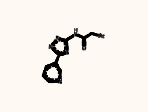 CC(=O)CC(=O)Nc1nnc(-c2cccnc2)s1